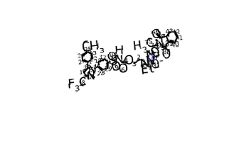 CCN(CCOC(=O)NS(=O)(=O)c1ccc(-n2nc(C(F)(F)F)cc2-c2ccc(C)cc2)cc1)/[N+]([O-])=N/OC(C)N1C(=O)c2ccccc2C1=O